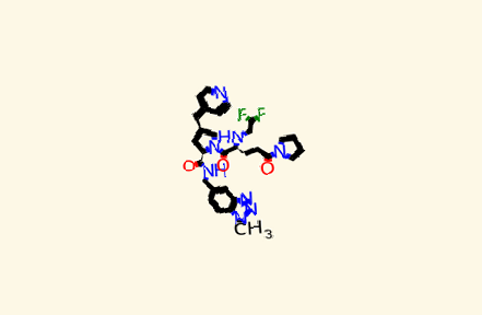 Cn1nnc2cc(CNC(=O)[C@@H]3C[C@@H](Cc4ccncc4)CN3C(=O)[C@@H](CCC(=O)N3CCCC3)NCC(F)F)ccc21